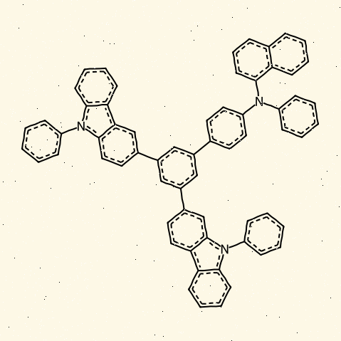 c1ccc(N(c2ccc(-c3cc(-c4ccc5c(c4)c4ccccc4n5-c4ccccc4)cc(-c4ccc5c6ccccc6n(-c6ccccc6)c5c4)c3)cc2)c2cccc3ccccc23)cc1